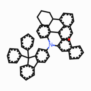 c1ccc(C2(c3ccccc3)c3ccccc3-c3ccc(N(c4ccc5ccccc5c4)c4ccccc4-c4cccc5cccc(C6CCCCC6)c45)cc32)cc1